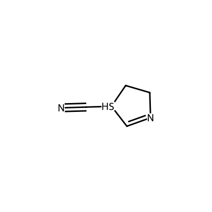 N#C[SH]1C=NCC1